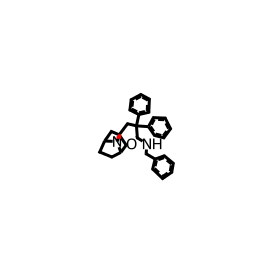 CN1C2CCC1CC(CC(C(=O)NCc1ccccc1)(c1ccccc1)c1ccccc1)C2